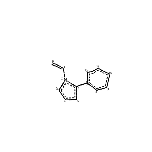 C=Cn1cccc1-c1ccccc1